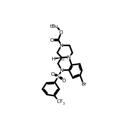 CC(C)(C)OC(=O)N1CCN2c3ccc(Br)cc3N(S(=O)(=O)c3cccc(C(F)(F)F)c3)C[C@@H]2C1